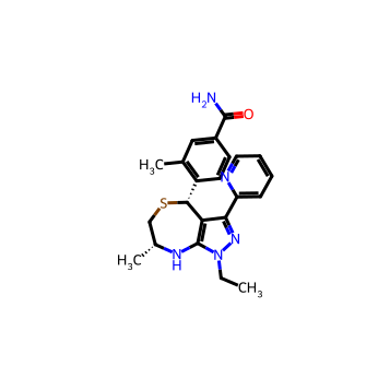 CCn1nc(-c2ccccn2)c2c1N[C@H](C)CS[C@@H]2c1ccc(C(N)=O)cc1C